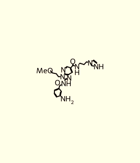 COCCCn1c(NC(=O)c2cccc(N)c2)nc2cc(C(=O)NCCCN3C=CNC3)cnc21